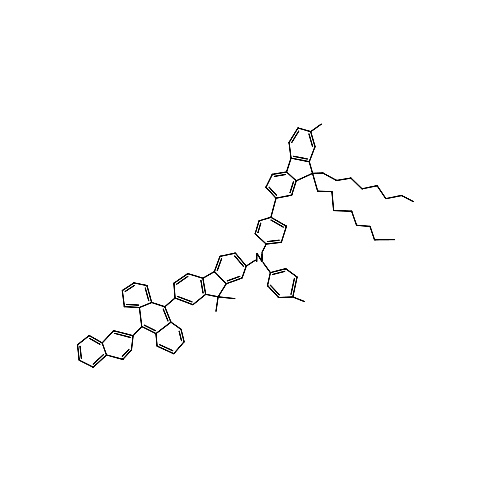 CCCCCCCCC1(CCCCCCCC)c2cc(C)ccc2-c2ccc(-c3ccc(N(c4ccc(C)cc4)c4ccc5c(c4)C(C)(C)c4cc(-c6c7ccccc7c(-c7ccc8ccccc8c7)c7ccccc67)ccc4-5)cc3)cc21